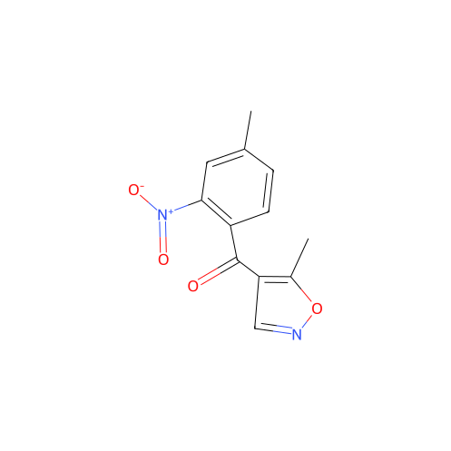 Cc1ccc(C(=O)c2cnoc2C)c([N+](=O)[O-])c1